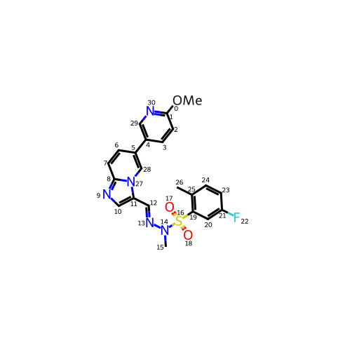 COc1ccc(-c2ccc3ncc(/C=N/N(C)S(=O)(=O)c4cc(F)ccc4C)n3c2)cn1